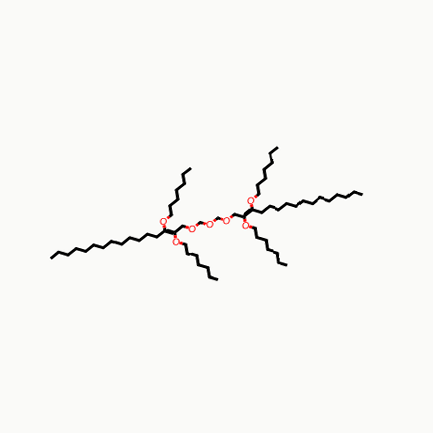 CCCCCCCCCCCCCC(OCCCCCCC)=C(COCOCOCC(OCCCCCCC)=C(CCCCCCCCCCCCC)OCCCCCCC)OCCCCCCC